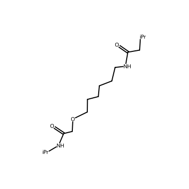 CC(C)CC(=O)NCCCCCCOCC(=O)NC(C)C